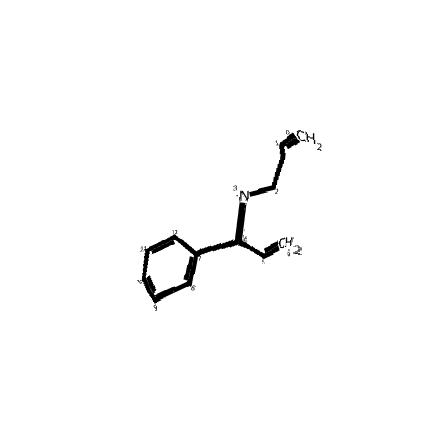 C=CC[N]C(C=C)c1ccccc1